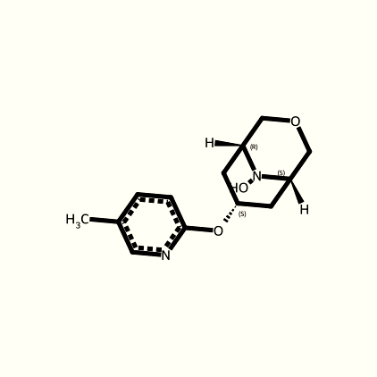 Cc1ccc(O[C@H]2C[C@H]3COC[C@@H](C2)N3O)nc1